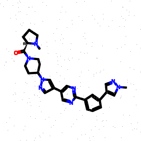 CN1CCC[C@H]1C(=O)N1CCC(n2cc(-c3cnc(-c4cccc(-c5cnn(C)c5)c4)nc3)cn2)CC1